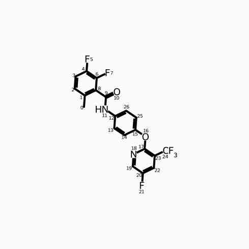 Cc1ccc(F)c(F)c1C(=O)Nc1ccc(Oc2ncc(F)cc2C(F)(F)F)cc1